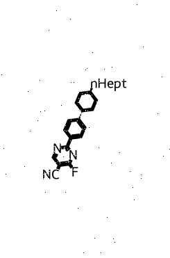 CCCCCCC[C@H]1CC[C@H](c2ccc(-c3ncc(C#N)c(F)n3)cc2)CC1